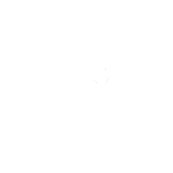 CCCCCCCCCN1C=CN(C)C1CCCCCCC